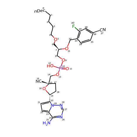 CCCCCCCCCCCCCCOC[C@H](COP(=O)(O)OC[C@]1(C#N)CC[C@H](c2ccc3c(N)ncnn23)O1)OCc1ccc(C#N)cc1F